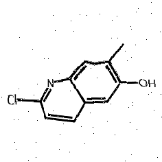 Cc1cc2nc(Cl)ccc2cc1O